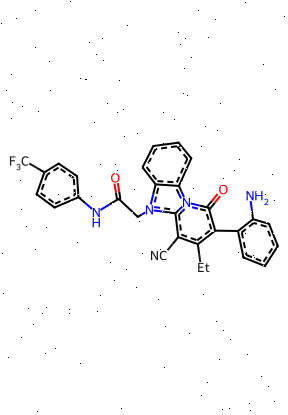 CCc1c(-c2ccccc2N)c(=O)n2c3ccccc3n(CC(=O)Nc3ccc(C(F)(F)F)cc3)c2c1C#N